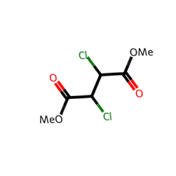 COC(=O)C(Cl)C(Cl)C(=O)OC